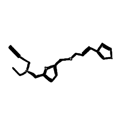 C#CCN(CC)Cc1ccc(COCC=Cc2ccsc2)o1